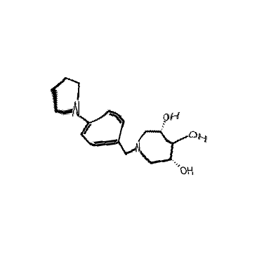 OC1[C@H](O)CN(Cc2ccc(N3CCCC3)cc2)C[C@@H]1O